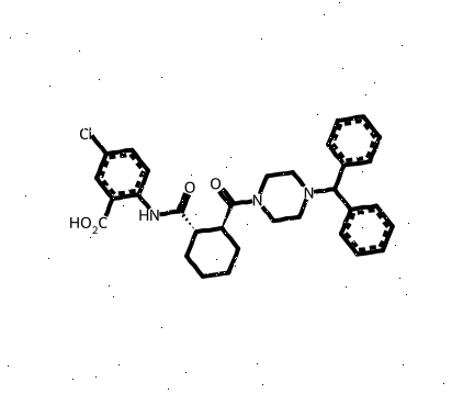 O=C(O)c1cc(Cl)ccc1NC(=O)[C@H]1CCCC[C@@H]1C(=O)N1CCN(C(c2ccccc2)c2ccccc2)CC1